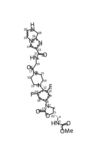 COC(=O)NC[C@H]1CN(c2cc(F)c(N3CCN(C(=O)CNC(=O)c4cn5c(n4)CNC=C5)CC3)c(F)c2)C(=O)O1